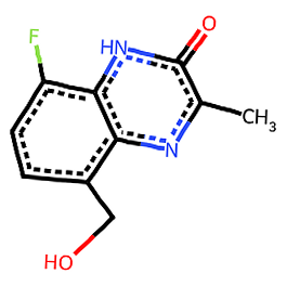 Cc1nc2c(CO)ccc(F)c2[nH]c1=O